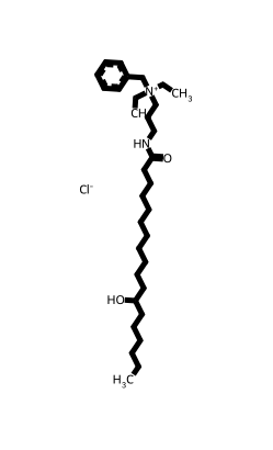 CCCCCCC(O)CCCCCCCCCCC(=O)NCCC[N+](CC)(CC)Cc1ccccc1.[Cl-]